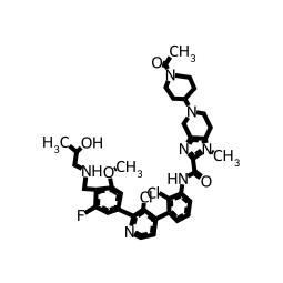 COc1cc(-c2nccc(-c3cccc(NC(=O)c4nc5c(n4C)CCN(C4CCN(C(C)=O)CC4)C5)c3Cl)c2Cl)cc(F)c1CNCC(C)O